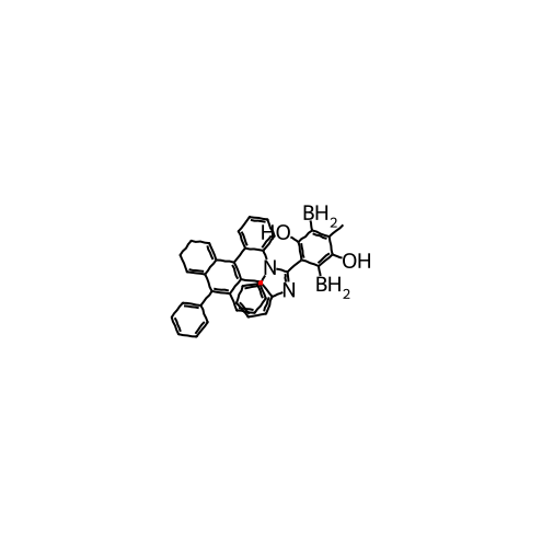 Bc1c(C)c(O)c(B)c(-c2nc3ccccc3n2-c2ccccc2-c2c3c(c(-c4ccccc4)c4ccccc24)=CCCC=3)c1O